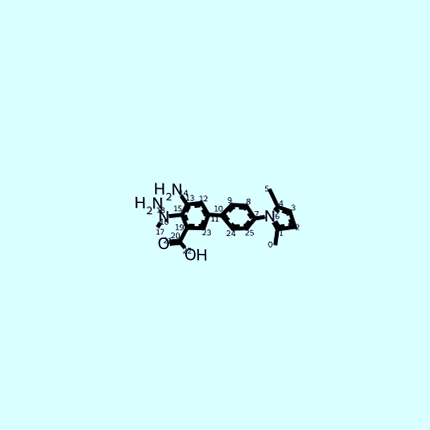 Cc1ccc(C)n1-c1ccc(-c2cc(N)c(N(C)N)c(C(=O)O)c2)cc1